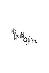 Cc1ccc(Nc2ccc3c(c2)ncn3-c2ccc(C(C)O)c(N3C[C@H](C#N)C[C@@H]3C)n2)nn1